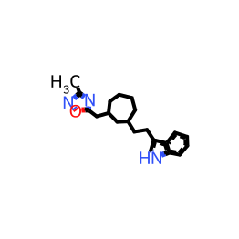 Cc1noc(CC2CCCCC(CCc3c[nH]c4ccccc34)C2)n1